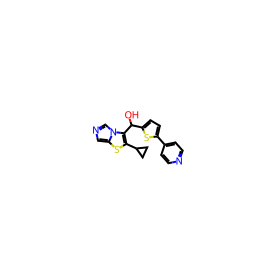 OC(c1ccc(-c2ccncc2)s1)c1c(C2CC2)sc2cncn12